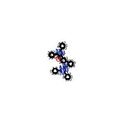 c1ccc(-c2nc(-c3ccccc3)nc(-n3c4ccccc4c4cc5c(cc43)oc3c(-c4ccccc4)nc(-c4ccccc4)nc35)n2)cc1